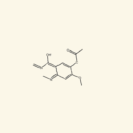 C=N/C(O)=C1/C=C(OC(C)=O)C(OC)=C/C1=N/C